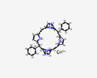 C1=Cc2nc1cc1ccc([nH]1)c(-c1ccccc1)c1nc(cc3ccc([nH]3)c2-c2ccccc2)C=C1.[Co+2]